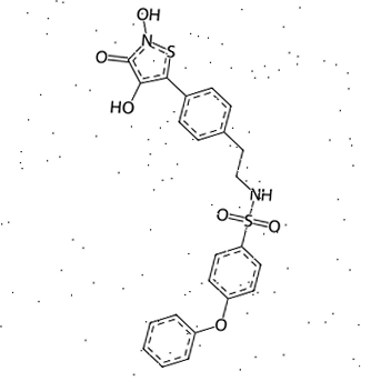 O=c1c(O)c(-c2ccc(CCNS(=O)(=O)c3ccc(Oc4ccccc4)cc3)cc2)sn1O